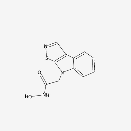 O=C(Cn1c2ccccc2c2cnsc21)NO